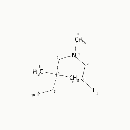 CN(CCI)CC(C)(C)CI